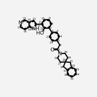 O=C(Cc1ccc(-c2cccc(-c3cc4cnccc4[nH]3)c2O)cc1)N1CCC2(CC1)Cc1ccccc1C2